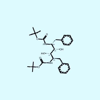 CC(C)(C)OC(=O)N[C@H](Cc1ccccc1)[C@H](O)[C@@H](O)[C@@H](Cc1ccccc1)NC(=O)OC(C)(C)C